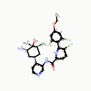 C[C@H]1C[C@@H](c2ccncc2NC(=O)c2ccc(F)c(-c3c(F)cc(OCC(F)(F)F)cc3F)n2)C[C@@H](N)[C@]1(C)O